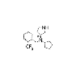 FC(F)(F)c1ccccc1CN(C1CCCC1)[C@H]1CCNC1